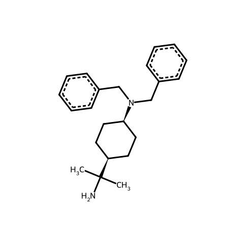 CC(C)(N)[C@H]1CC[C@@H](N(Cc2ccccc2)Cc2ccccc2)CC1